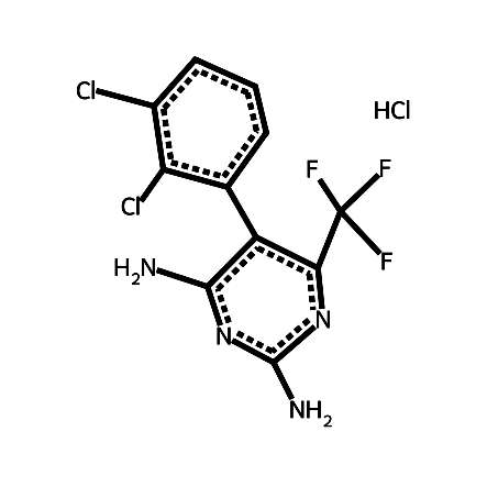 Cl.Nc1nc(N)c(-c2cccc(Cl)c2Cl)c(C(F)(F)F)n1